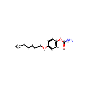 CCCCCCOc1ccc(OC(N)=O)cc1